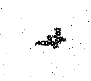 COc1cc(N2CCC3(CC2)CCN(C(C)(C)CF)CC3)c(-c2cnn(C)c2)cc1Nc1nc(Nc2ccc3nccnc3c2)c2cc[nH]c2n1